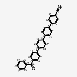 N#Cc1ccc(-c2ccc(-c3ccc(-c4ccc(C(=O)c5ccccc5)cc4)cc3)cc2)cc1